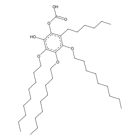 CCCCCCCCCOc1c(O)c(OC(=O)O)c(CCCCCC)c(OCCCCCCCCC)c1OCCCCCCCCC